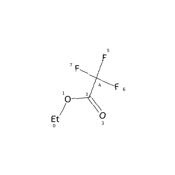 [CH2]COC(=O)C(F)(F)F